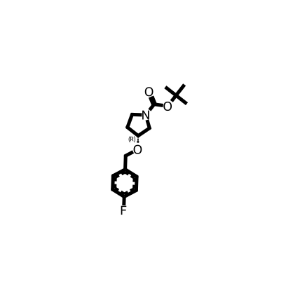 CC(C)(C)OC(=O)N1CC[C@@H](OCc2ccc(F)cc2)C1